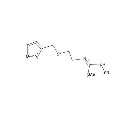 CS/C(=N\CCSCc1ccon1)NC#N